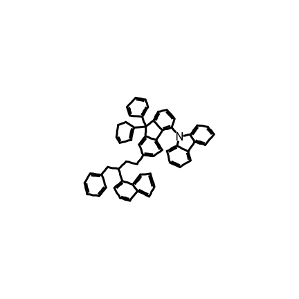 C1=CCCC(C2(c3ccccc3)c3cc(CCC(Cc4ccccc4)c4cccc5ccccc45)ccc3-c3c(-n4c5ccccc5c5ccccc54)cccc32)=C1